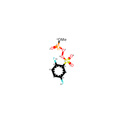 CO[PH](=O)OOS(=O)(=O)c1cc(F)ccc1F